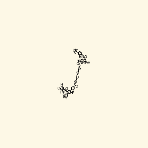 Cc1ncsc1-c1ccc(CNC(=O)[C@@H]2C[C@@H](O)CN2C(=O)[C@@H](NC(=O)CCOCCOCCOCCOCCC(=O)N2CC=C(c3cc(NC(=O)c4c[nH]c(=O)cc4C(F)(F)F)c(N4C[C@@H](C)N(C)[C@@H](C)C4)cc3F)CC2)C(C)(C)C)cc1